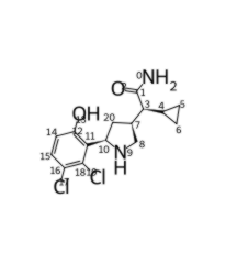 NC(=O)[C@@H](C1CC1)[C@H]1CN[C@@H](c2c(O)ccc(Cl)c2Cl)C1